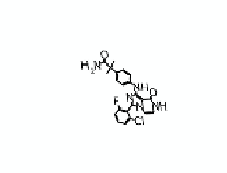 CC(C)(C(N)=O)c1ccc(Nc2nc(-c3c(F)cccc3Cl)n3cc[nH]c(=O)c23)cc1